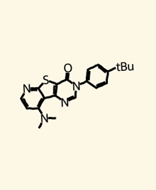 CN(C)c1ccnc2sc3c(=O)n(-c4ccc(C(C)(C)C)cc4)cnc3c12